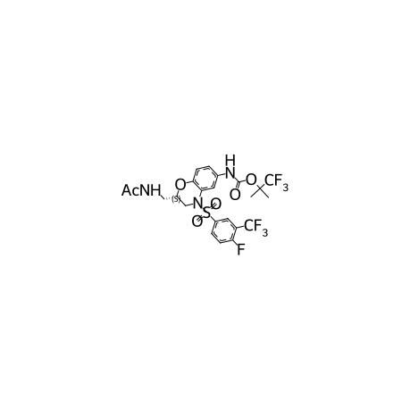 CC(=O)NC[C@H]1CN(S(=O)(=O)c2ccc(F)c(C(F)(F)F)c2)c2cc(NC(=O)OC(C)(C)C(F)(F)F)ccc2O1